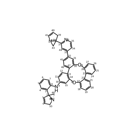 C1=CC2(c3ccccc3Nc3ccc4c(c3)Oc3ccccc3-c3ccccc3Oc3cc(-c5ccnc(C67CC=CN6C7)c5)ccc3-4)C[N@]2C1